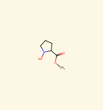 COC(=O)C1CCCN1O